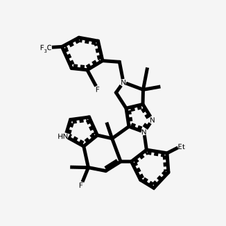 CCc1cccc2c1-n1nc3c(c1C1(C)C2=CC(C)(F)c2[nH]ccc21)CN(Cc1ccc(C(F)(F)F)cc1F)C3(C)C